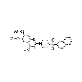 COc1cc2nc(N3CCN(S(=O)(=O)c4ccc5ccccc5c4)CC3)nc([NH])c2cc1OC